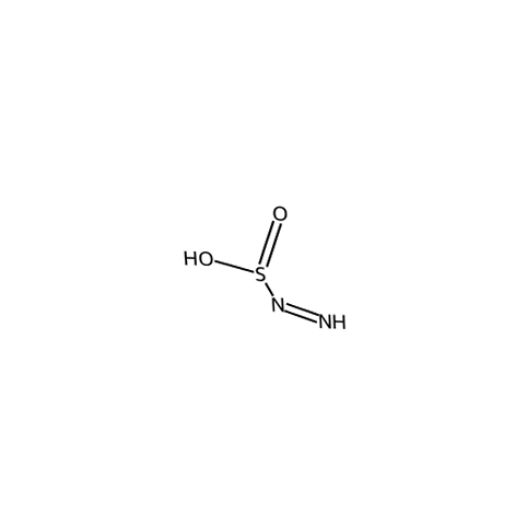 N=NS(=O)O